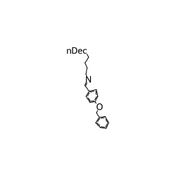 CCCCCCCCCCCCCC/N=C/c1ccc(OCc2ccccc2)cc1